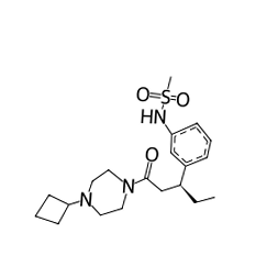 CC[C@@H](CC(=O)N1CCN(C2CCC2)CC1)c1cccc(NS(C)(=O)=O)c1